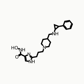 O=C(NO)c1c[nH]c(CCCN2CCC(CNC3CC3c3ccccc3)CC2)n1